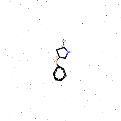 CC(=O)[C@@H]1C[C@H](Oc2ccccc2)CN1